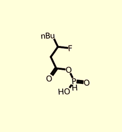 CCCCC(F)CC(=O)O[PH](=O)O